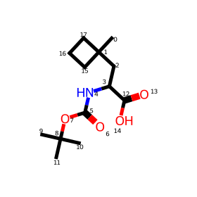 CC1(CC(NC(=O)OC(C)(C)C)C(=O)O)CCC1